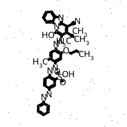 CCCOc1cc(N=Nc2ccc(N=Nc3ccccc3)cc2S(=O)(=O)O)c(C)cc1N=Nc1c(C(C)(C)C)c(C#N)c2nc3ccccc3n2c1O